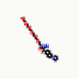 COCCOCCOCCOCCOCCOCCNC(=O)/C(C#N)=C(\C)c1ccc2cc(N3CCCCC3)ccc2c1